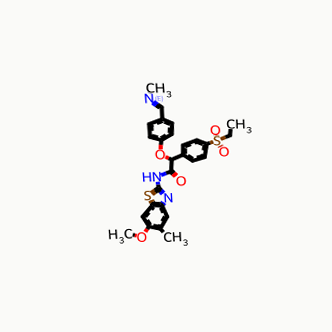 CCS(=O)(=O)c1ccc(C(Oc2ccc(/C=N/C)cc2)C(=O)Nc2nc3cc(C)c(OC)cc3s2)cc1